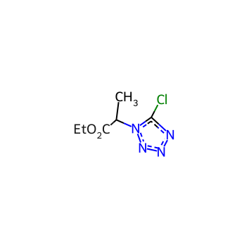 CCOC(=O)C(C)n1nnnc1Cl